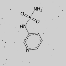 NS(=O)(=O)Nc1cccnc1